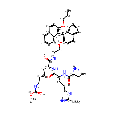 CNC(=N)NCCC[C@@H](NC(=O)[C@H](N)CC(C)C)C(=O)N[C@H](CCCCNC(=O)OC(C)(C)C)C(=O)NCCOc1ccc2ccccc2c1-c1c(OCCC(C)C)ccc2ccccc12